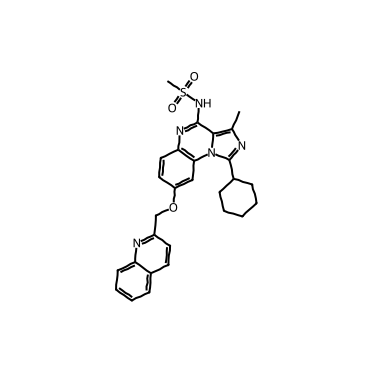 Cc1nc(C2CCCCC2)n2c1c(NS(C)(=O)=O)nc1ccc(OCc3ccc4ccccc4n3)cc12